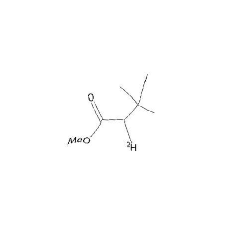 [2H]C(C(=O)OC)C(C)(C)C